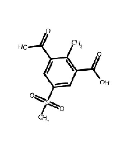 Cc1c(C(=O)O)cc(S(C)(=O)=O)cc1C(=O)O